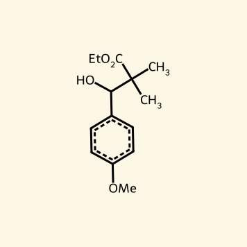 CCOC(=O)C(C)(C)C(O)c1ccc(OC)cc1